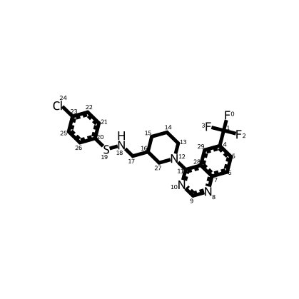 FC(F)(F)c1ccc2ncnc(N3CCCC(CNSc4ccc(Cl)cc4)C3)c2c1